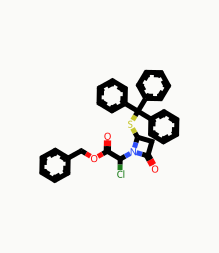 O=C(OCc1ccccc1)C(Cl)N1C(=O)CC1SC(c1ccccc1)(c1ccccc1)c1ccccc1